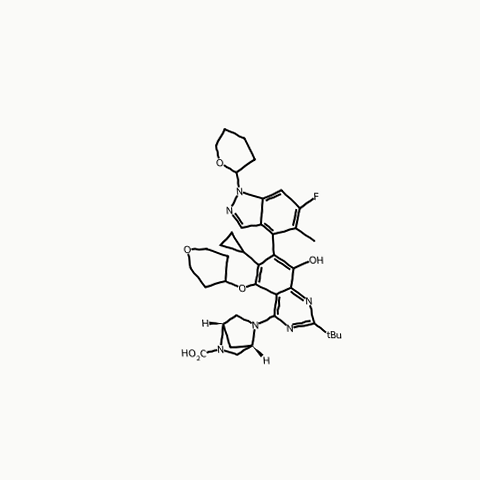 Cc1c(F)cc2c(cnn2C2CCCCO2)c1-c1c(C2CC2)c(OC2CCOCC2)c2c(N3C[C@@H]4C[C@H]3CN4C(=O)O)nc(C(C)(C)C)nc2c1O